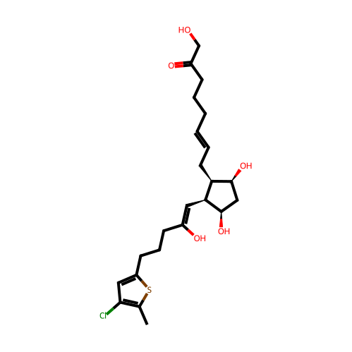 Cc1sc(CCCC(O)=C[C@H]2[C@@H](CC=CCCCC(=O)CO)[C@@H](O)C[C@H]2O)cc1Cl